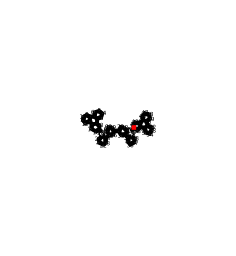 C1=C2c3ccccc3-c3ccccc3C2CC=C1n1c2ccccc2c2cc(-c3ccc4c(c3)c3ccccc3n4-c3ccc4c5ccccc5c5ccccc5c4c3)ccc21